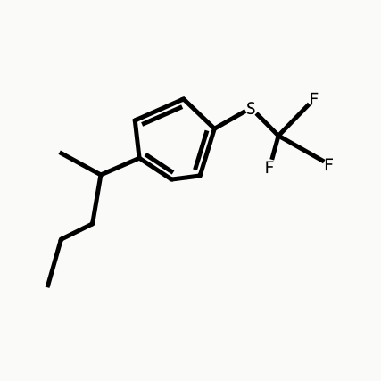 CCCC(C)c1ccc(SC(F)(F)F)cc1